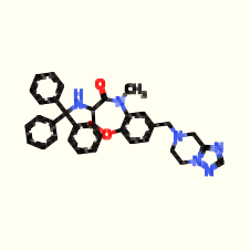 CN1C(=O)C(NC(c2ccccc2)(c2ccccc2)c2ccccc2)COc2ccc(CN3CCn4ncnc4C3)cc21